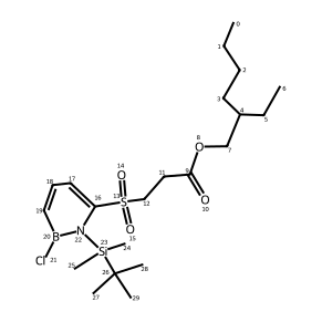 CCCCC(CC)COC(=O)CCS(=O)(=O)C1=CC=CB(Cl)N1[Si](C)(C)C(C)(C)C